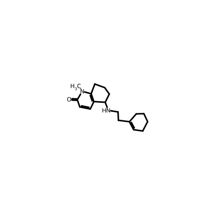 Cn1c2c(ccc1=O)C(NCCC1=CCCCC1)CCC2